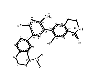 CN(C)[C@@H]1CCOc2ccc(-c3nc(-c4cc5c(cc4F)C(=O)NCC5)c(N)nc3F)cc21